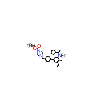 C=Cc1cc(-c2ccc(CN3CCN(C(=O)OC(C)(C)C)CC3)cc2)cc(N(CC)C(=C)C2CCCC2)c1C